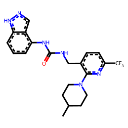 CC1CCN(c2nc(C(F)(F)F)ccc2CNC(=O)Nc2cccc3[nH]ncc23)CC1